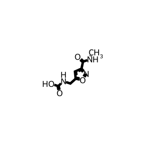 CNC(=O)c1cc(CNC(=O)O)on1